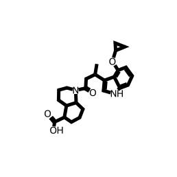 CC(CC(=O)N1CCCC2C(C(=O)O)CCCC21)c1c[nH]c2cccc(OC3CC3)c12